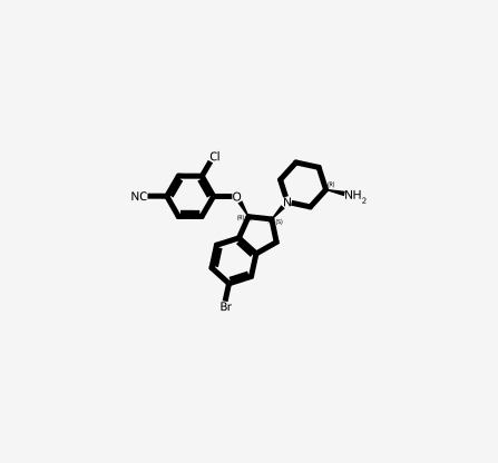 N#Cc1ccc(O[C@@H]2c3ccc(Br)cc3C[C@@H]2N2CCC[C@@H](N)C2)c(Cl)c1